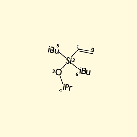 C=C[Si](OC(C)C)(C(C)CC)C(C)CC